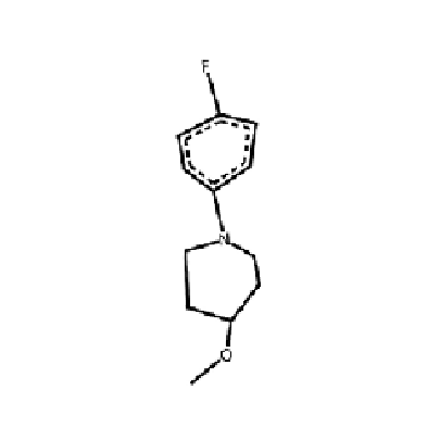 COC1CCN(c2ccc(F)cc2)CC1